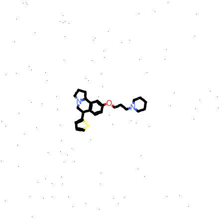 c1csc(C2CN3CCCC3c3cc(OCCCN4CCCCC4)ccc32)c1